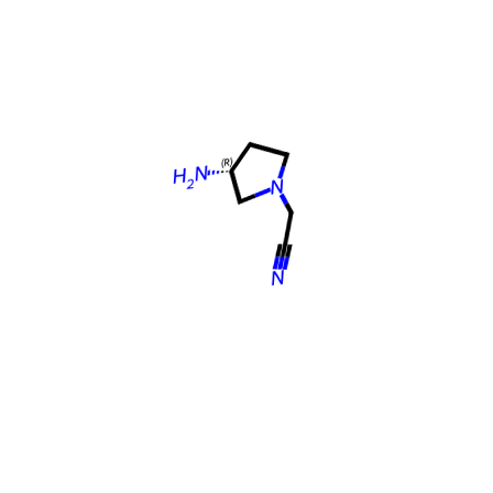 N#CCN1CC[C@@H](N)C1